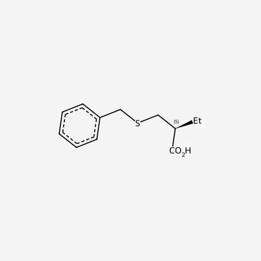 CC[C@H](CSCc1ccccc1)C(=O)O